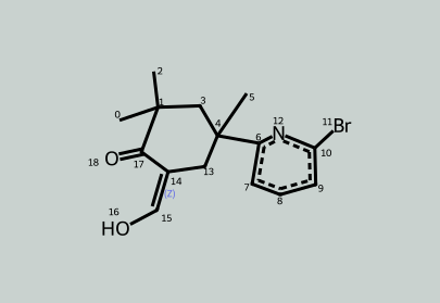 CC1(C)CC(C)(c2cccc(Br)n2)C/C(=C/O)C1=O